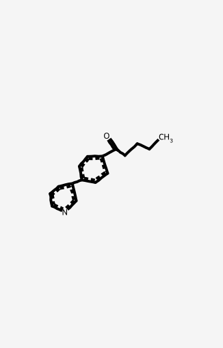 CCCCC(=O)c1ccc(-c2cccnc2)cc1